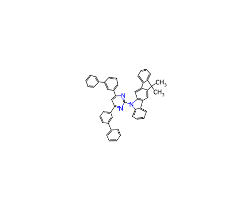 CC1(C)c2ccccc2-c2cc3c(cc21)c1ccccc1n3-c1nc(-c2cccc(-c3ccccc3)c2)cc(-c2cccc(-c3ccccc3)c2)n1